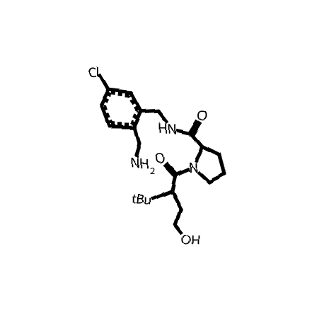 CC(C)(C)C(CCO)C(=O)N1CCCC1C(=O)NCc1cc(Cl)ccc1CN